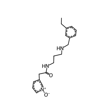 CCc1cccc(CNCCCNC(=O)Cc2ccc[n+]([O-])c2)c1